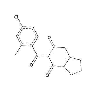 Cc1cc(Cl)ccc1C(=O)C1C(=O)CC2CCCC2C1=O